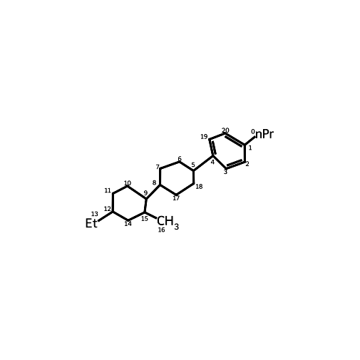 CCCc1ccc(C2CCC(C3CCC(CC)CC3C)CC2)cc1